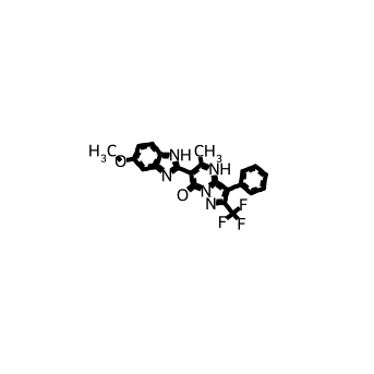 COc1ccc2[nH]c(-c3c(C)[nH]c4c(-c5ccccc5)c(C(F)(F)F)nn4c3=O)nc2c1